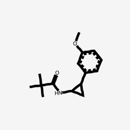 COc1cccc(C2CC2NC(=O)C(C)(C)C)c1